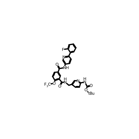 CC(C)(C)OC(=O)Nc1ccc(CNC(=O)c2cc(C(=O)Nc3ccc(-c4ccccc4F)nc3)ccc2OC(F)(F)F)cn1